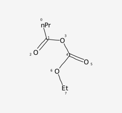 CCCC(=O)OC(=O)OCC